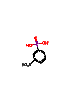 O=P(O)(O)c1cc[c]c(S(=O)(=O)O)c1